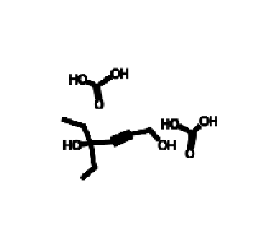 CCC(O)(C#CCO)CC.O=C(O)O.O=C(O)O